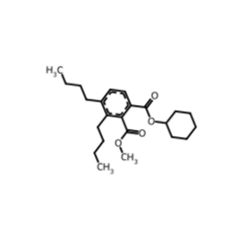 CCCCc1ccc(C(=O)OC2CCCCC2)c(C(=O)OC)c1CCCC